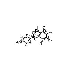 Cc1c(F)c(F)c(F)c(OC(=O)c2ccc(Br)cn2)c1F